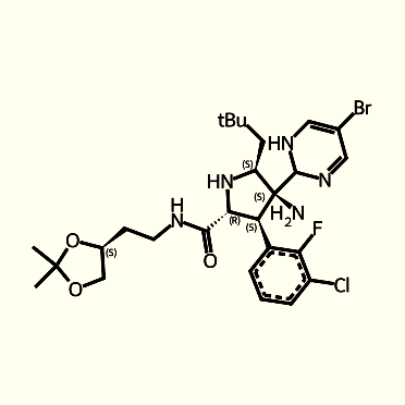 CC(C)(C)C[C@@H]1N[C@@H](C(=O)NCC[C@H]2COC(C)(C)O2)[C@H](c2cccc(Cl)c2F)[C@@]1(N)C1N=CC(Br)=CN1